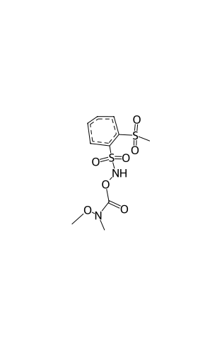 CON(C)C(=O)ONS(=O)(=O)c1ccccc1S(C)(=O)=O